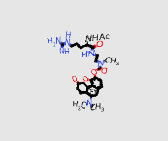 CC[C@]12c3c4ccc(OC(=O)N(C)CCNC(=O)[C@H](CCCNC(=N)N)NC(C)=O)c3OC1C(=O)CCC2[C@H](N(C)C)C4